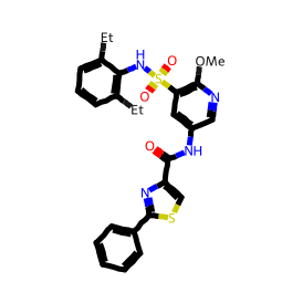 CCc1cccc(CC)c1NS(=O)(=O)c1cc(NC(=O)c2csc(-c3ccccc3)n2)cnc1OC